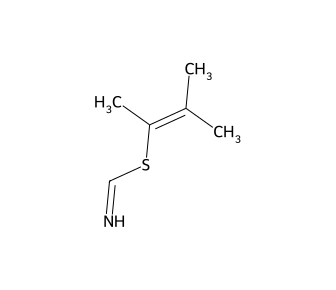 CC(C)=C(C)SC=N